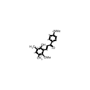 CNc1ccc(C(=O)C=Cc2c(O)c(C)cc(C)c2OC)cc1